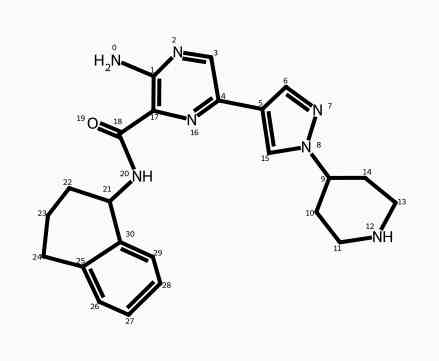 Nc1ncc(-c2cnn(C3CCNCC3)c2)nc1C(=O)NC1CCCc2ccccc21